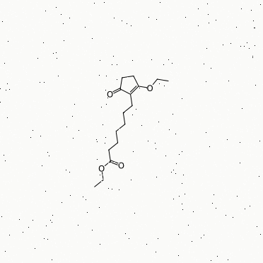 CCOC(=O)CCCCCCC1=C(OCC)CCC1=O